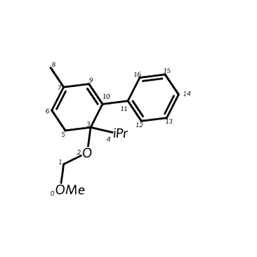 COCOC1(C(C)C)CC=C(C)C=C1c1ccccc1